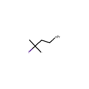 [CH2]C(C)(I)CCCCC